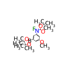 COc1cc(B2OC(C)(C)C(C)(C)O2)cc(N(F)C(=O)OC(C)(C)C)c1